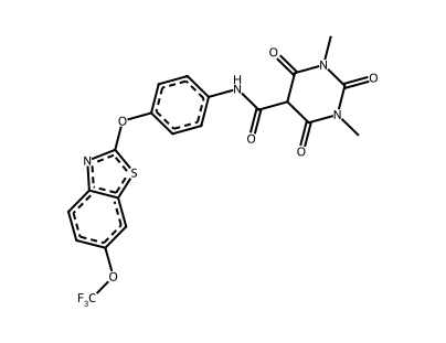 CN1C(=O)C(C(=O)Nc2ccc(Oc3nc4ccc(OC(F)(F)F)cc4s3)cc2)C(=O)N(C)C1=O